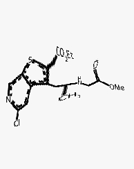 CCOC(=O)c1sc2cnc(Cl)cc2c1C(C)NCC(=O)OC